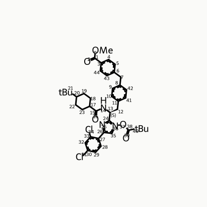 COC(=O)c1ccc(Cc2ccc(C[C@H](NC(=O)C3CCC(C(C)(C)C)CC3)c3nc(-c4ccc(Cl)cc4Cl)cn3OC(=O)C(C)(C)C)cc2)cc1